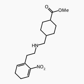 COC(=O)C1CCC(CNCCC2=CCCC=C2[N+](=O)[O-])CC1